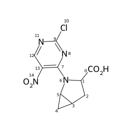 O=C(O)C1CC2CC2N1c1nc(Cl)ncc1[N+](=O)[O-]